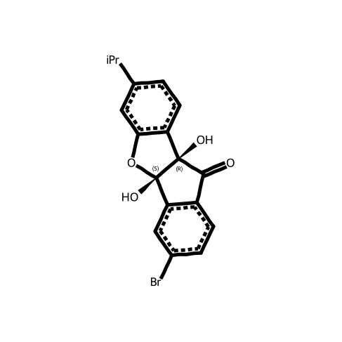 CC(C)c1ccc2c(c1)O[C@@]1(O)c3cc(Br)ccc3C(=O)[C@@]21O